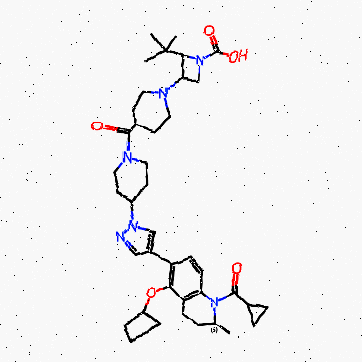 C[C@H]1CCc2c(ccc(-c3cnn(C4CCN(C(=O)C5CCN(C6CN(C(=O)O)C6C(C)(C)C)CC5)CC4)c3)c2OC2CCC2)N1C(=O)C1CC1